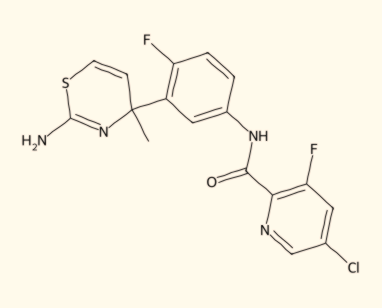 CC1(c2cc(NC(=O)c3ncc(Cl)cc3F)ccc2F)C=CSC(N)=N1